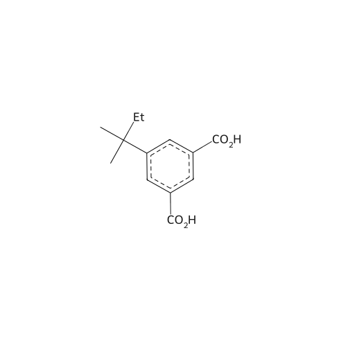 CCC(C)(C)c1cc(C(=O)O)cc(C(=O)O)c1